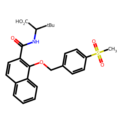 CC(C)(C)C(NC(=O)c1ccc2ccccc2c1OCc1ccc(S(C)(=O)=O)cc1)C(=O)O